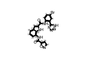 O=C(Nc1ccc(Br)cc1-c1nnn[nH]1)c1cc2cccc(NC(=O)c3ccno3)c2[nH]1